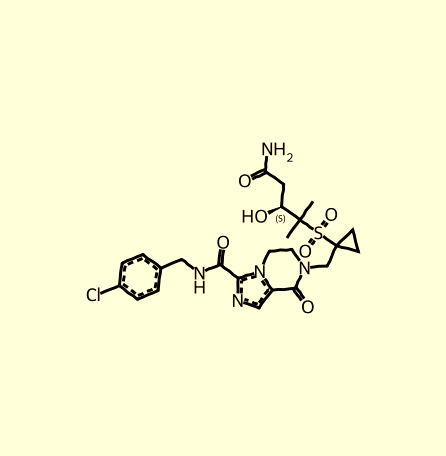 CC(C)([C@@H](O)CC(N)=O)S(=O)(=O)C1(CN2CCn3c(cnc3C(=O)NCc3ccc(Cl)cc3)C2=O)CC1